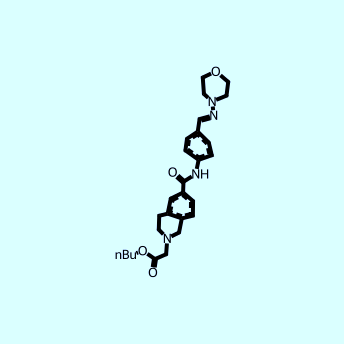 CCCCOC(=O)CN1CCc2cc(C(=O)Nc3ccc(C=NN4CCOCC4)cc3)ccc2C1